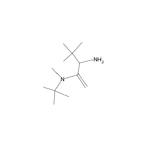 C=C(C(N)C(C)(C)C)N(C)C(C)(C)C